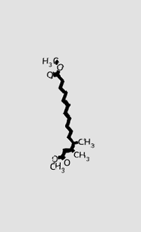 COC(=O)/C=C(\C)C(C)CCCCCCCCCCC(=O)OC